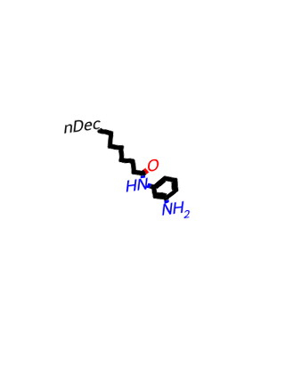 CCCCCCCCCCCCCCCCCC(=O)Nc1cccc(N)c1